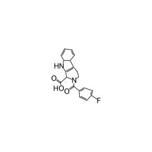 O=C(O)C1C2=C(CCN1C(=O)c1ccc(F)cc1)C1C=CC=CC1N2